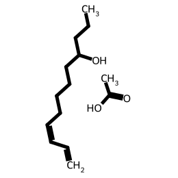 C=C/C=C\CCCCC(O)CCC.CC(=O)O